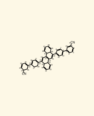 N#Cc1cccc(-c2ccc(C3=CC4=C(C=C(C5=CC=C(C6=CC=CC(C#N)C6)CC5)C5C=CC=CC45)C4C=CC=CC34)cc2)c1